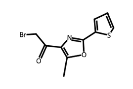 Cc1oc(-c2cccs2)nc1C(=O)CBr